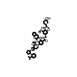 CC(C)c1ccccc1[C@H]1CCC[C@H]1N1CC2(CCN(c3ccc(C(=O)NSc4cc(N=O)c5c(c4)OC[C@H]([C@H]4CC[C@](C)(O)CC4)N5)c(Oc4cc5c(nc4OC4COC4)CC=C5)c3)CC2)C1